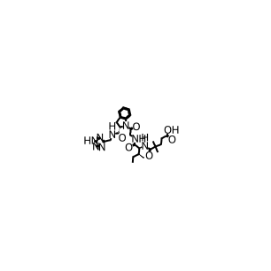 CC[C@H](C)[C@H](NC(=O)C(C)(C)CCC(=O)O)C(=O)NCC(=O)N1c2ccccc2C[C@H]1C(=O)NCc1nn[nH]n1